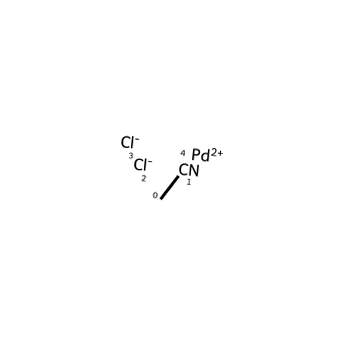 CC#N.[Cl-].[Cl-].[Pd+2]